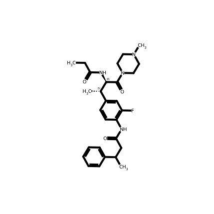 CCC(=O)N[C@@H](C(=O)N1CCN(C)CC1)[C@@H](C)c1ccc(NC(=O)CC(C)c2ccccc2)c(F)c1